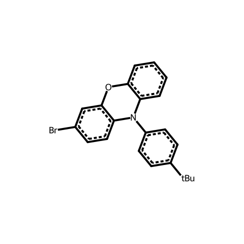 CC(C)(C)c1ccc(N2c3ccccc3Oc3cc(Br)ccc32)cc1